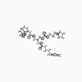 C=C1CC2CCC1(CC(=O)OCC(COC(=O)CCCCCCCCCCCCCC)COC(=O)OCCCN1CCCC1)C[C@H](C)C2